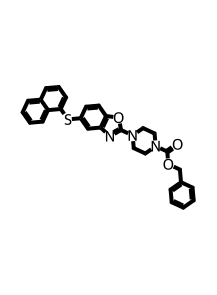 O=C(OCc1ccccc1)N1CCN(c2nc3cc(Sc4cccc5ccccc45)ccc3o2)CC1